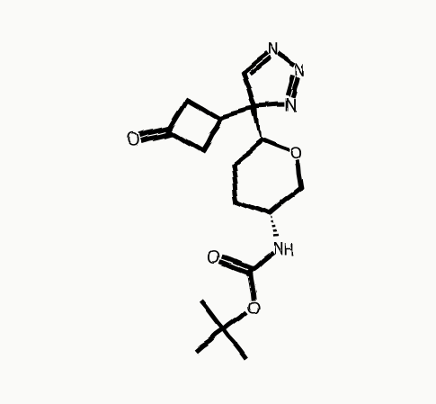 CC(C)(C)OC(=O)N[C@@H]1CC[C@@H](C2(C3CC(=O)C3)C=NN=N2)OC1